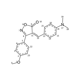 COc1ccc(C2=NOC(=O)C2=Cc2ccc(N(C)C)cc2)cc1